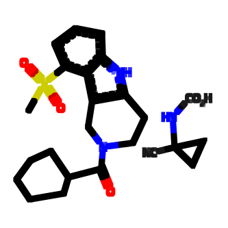 CS(=O)(=O)c1cccc2[nH]c3c(c12)CN(C(=O)C1CCCCC1)CC3.N#CC1(NC(=O)O)CC1